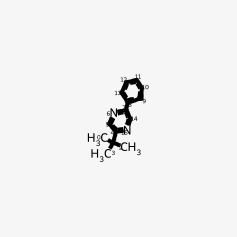 CC(C)(C)c1cnc(-c2ccccc2)cn1